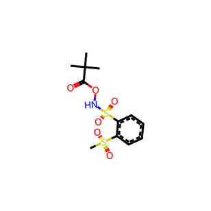 CC(C)(C)C(=O)ONS(=O)(=O)c1ccccc1S(C)(=O)=O